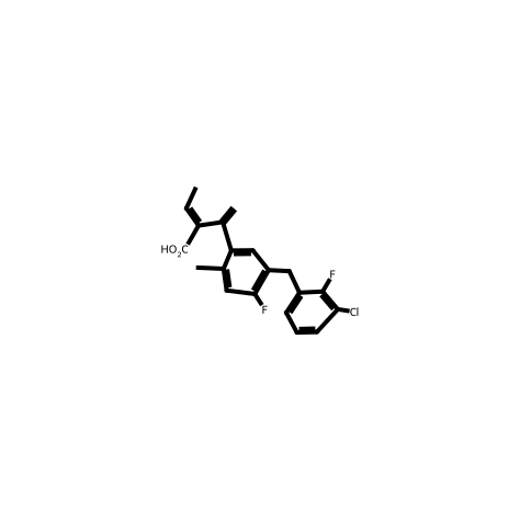 C=C(/C(=C\C)C(=O)O)c1cc(Cc2cccc(Cl)c2F)c(F)cc1C